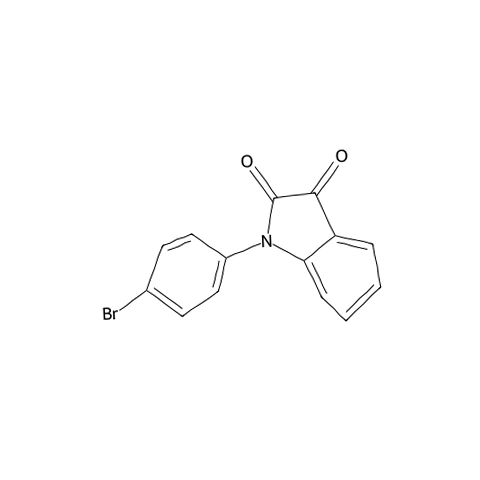 O=C1C(=O)N(c2ccc(Br)cc2)c2ccccc21